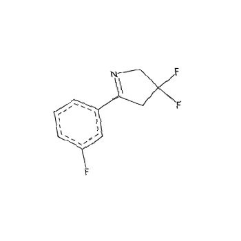 Fc1cccc(C2=NCC(F)(F)C2)c1